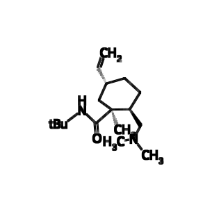 C=C[C@@H]1CC[C@@H](CN(C)C)[C@@](C)(C(=O)NC(C)(C)C)C1